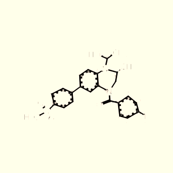 CC(O)N1c2ccc(-c3ccc(S(C)(=O)=O)cc3)cc2N(C(=O)c2ccc(F)cc2)C[C@@H]1C